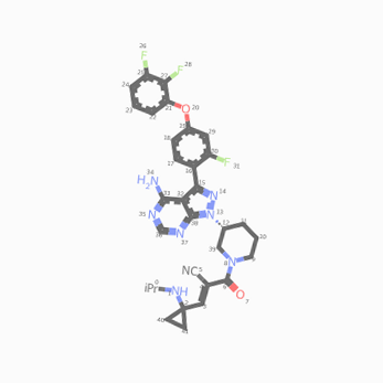 CC(C)NC1(/C=C(\C#N)C(=O)N2CCC[C@@H](n3nc(-c4ccc(Oc5cccc(F)c5F)cc4F)c4c(N)ncnc43)C2)CC1